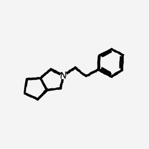 c1ccc(CCN2CC3CCCC3C2)cc1